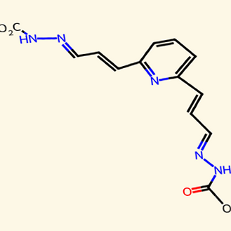 CCOC(=O)N/N=C/C=C/c1cccc(/C=C/C=N/NC(=O)OC)n1